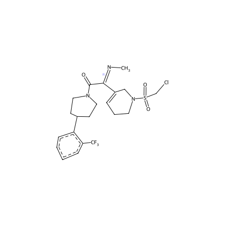 C/N=C(/C(=O)N1CCC(c2ccccc2C(F)(F)F)CC1)C1=CCCN(S(=O)(=O)CCl)C1